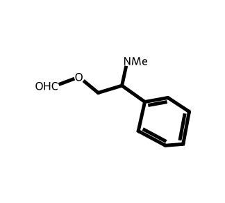 CNC(COC=O)c1ccccc1